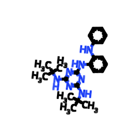 CC(C)(C)Nc1nc(Nc2ccccc2Nc2ccccc2)nc(NC(C)(C)C)n1